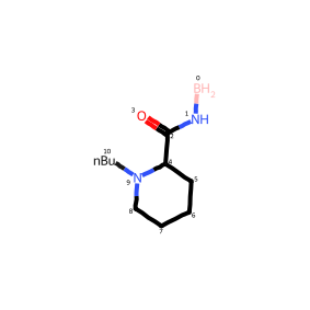 BNC(=O)C1CCCCN1CCCC